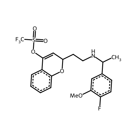 COc1cc(C(C)NCCC2C=C(OS(=O)(=O)C(F)(F)F)c3ccccc3O2)ccc1F